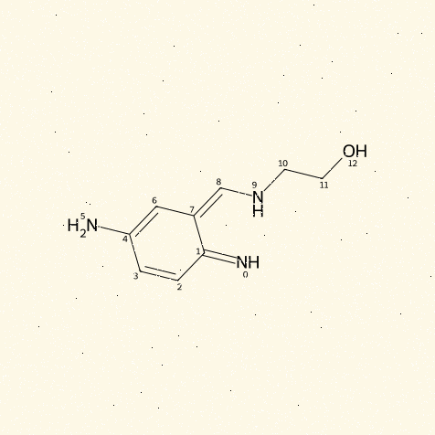 N=C1C=CC(N)=C/C1=C/NCCO